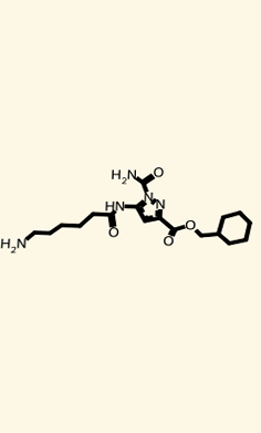 NCCCCCC(=O)Nc1cc(C(=O)OCC2CCCCC2)nn1C(N)=O